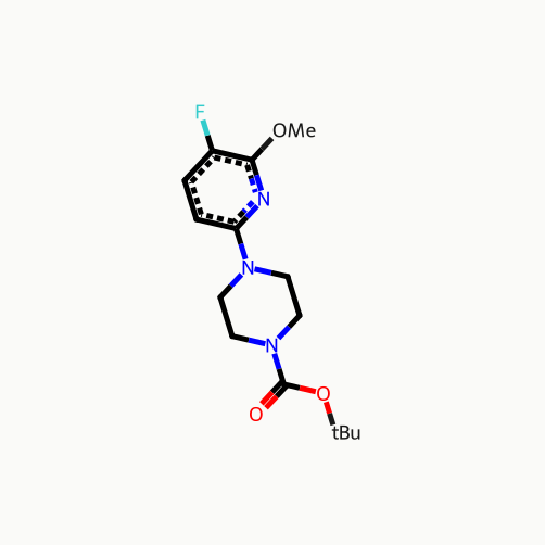 COc1nc(N2CCN(C(=O)OC(C)(C)C)CC2)ccc1F